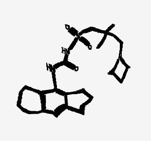 CC(C)(CN1CCC1)CS(=O)(=O)NC(=O)Nc1c2c(cc3c1CCC3)CCC2